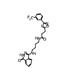 O=C(CCc1nc(-c2cccc(C(F)(F)F)c2)no1)NCCCCNc1n[nH]c(=O)c2ccccc12